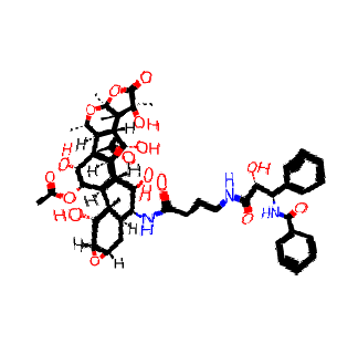 CC(=O)O[C@H]1[C@H]2[C@@H]([C@@H](O)[C@@H](NC(=O)CCCNC(=O)[C@H](O)[C@@H](NC(=O)c3ccccc3)c3ccccc3)[C@H]3C[C@@H]4O[C@@H]4[C@H](O)[C@]23C)[C@@H]2[C@@H](O)[C@@H]3[C@H]([C@H](C)O[C@@]4(C)OC(=O)[C@@](C)(O)[C@]34C)[C@@]2(C(C)=O)[C@H]1O